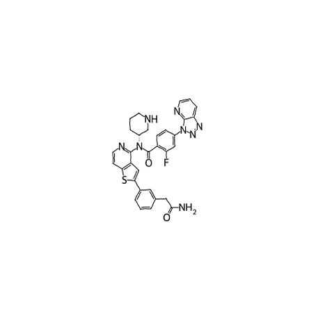 NC(=O)Cc1cccc(-c2cc3c(N(C(=O)c4ccc(-n5nnc6cccnc65)cc4F)[C@@H]4CCCNC4)nccc3s2)c1